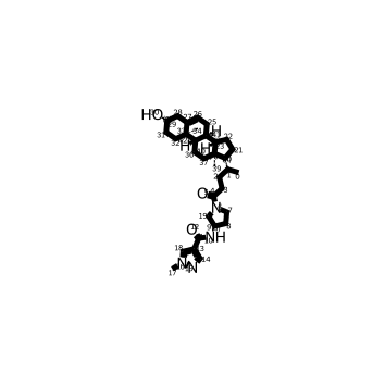 CC(CCC(=O)N1CC[C@H](NC(=O)c2cnn(C)c2)C1)[C@H]1CC[C@H]2[C@@H]3CC=C4C[C@@H](O)CC[C@]4(C)[C@H]3CC[C@]12C